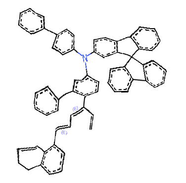 C=C/C(=C\C=C\c1cccc2c1C=CCC2)c1ccc(N(c2ccc(-c3ccccc3)cc2)c2ccc3c(c2)C2(c4ccccc4-c4ccccc42)c2ccccc2-3)cc1-c1ccccc1